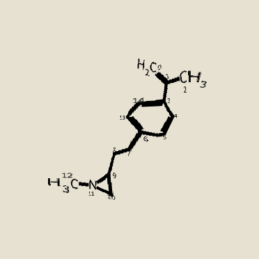 C=C(C)c1ccc(CCC2CN2C)cc1